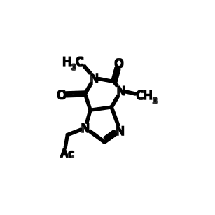 CC(=O)CN1C=NC2C1C(=O)N(C)C(=O)N2C